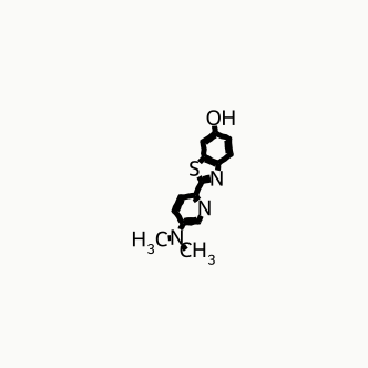 CN(C)c1ccc(-c2nc3ccc(O)cc3s2)nc1